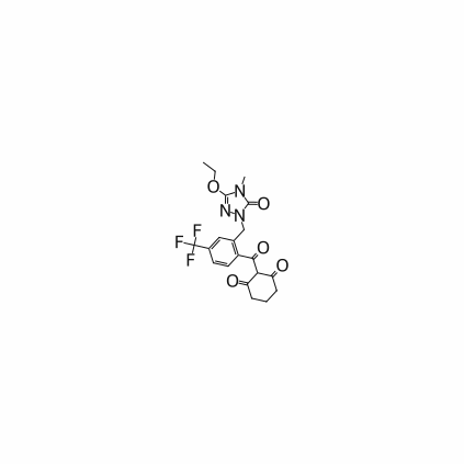 CCOc1nn(Cc2cc(C(F)(F)F)ccc2C(=O)C2C(=O)CCCC2=O)c(=O)n1C